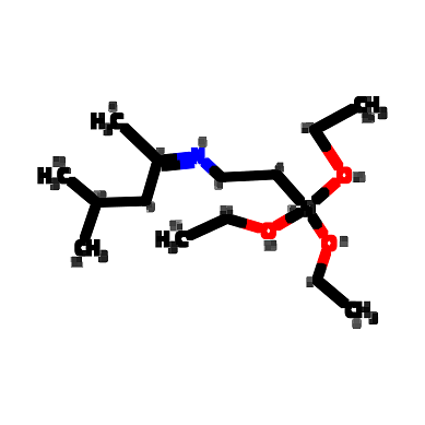 CCO[Si](CCN=C(C)CC(C)C)(OCC)OCC